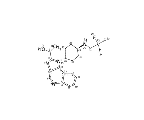 C[C@@H](O)c1nc2cnc3ccccc3c2n1[C@H]1CC[C@H](NCC(F)(F)F)CC1